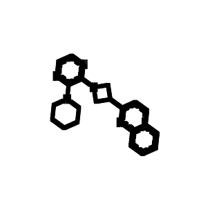 c1ccc2nc(C3CN(c4nccnc4N4CCCCC4)C3)ccc2c1